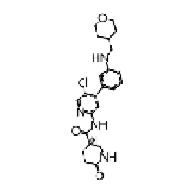 O=C1CC[C@@H](C(=O)Nc2cc(-c3cccc(NCC4CCOCC4)c3)c(Cl)cn2)CN1